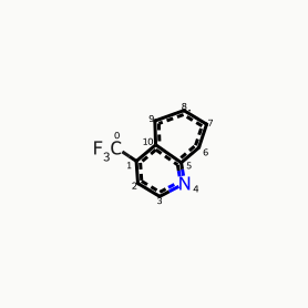 FC(F)(F)c1ccnc2cc[c]cc12